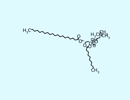 CCCCCCCCCCCCCCCCCCCC(=O)OC[C@H](COP(=O)(O)OCC[N+](C)(C)C)OC(=O)CCCCCCCCC